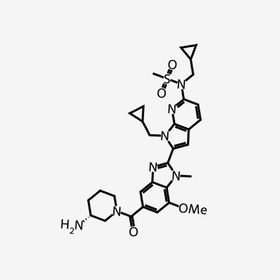 COc1cc(C(=O)N2CCC[C@@H](N)C2)cc2nc(-c3cc4ccc(N(CC5CC5)S(C)(=O)=O)nc4n3CC3CC3)n(C)c12